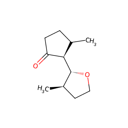 CC1CCC(=O)[C@@H]1[C@@H]1OCC[C@H]1C